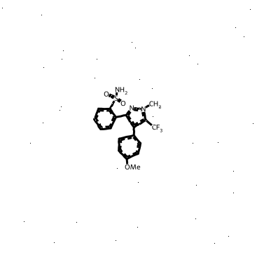 COc1ccc(-c2c(-c3ccccc3S(N)(=O)=O)nn(C)c2C(F)(F)F)cc1